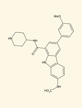 COc1cccc(-c2cc(C(=O)NC3CCNCC3)c3[nH]c4cc(NC(=O)O)ccc4c3c2)c1